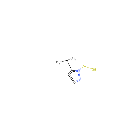 CC(C)c1ccnn1SS